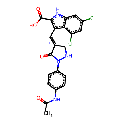 CC(=O)Nc1ccc(N2NC/C(=C\c3c(C(=O)O)[nH]c4cc(Cl)cc(Cl)c34)C2=O)cc1